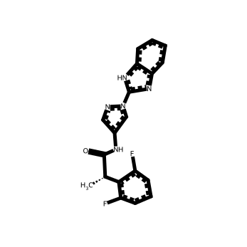 C[C@H](C(=O)Nc1cnn(-c2nc3ccccc3[nH]2)c1)c1c(F)cccc1F